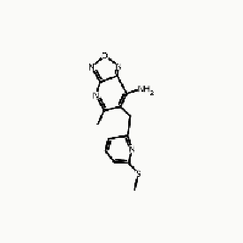 CSc1cccc(Cc2c(C)nc3nonc3c2N)n1